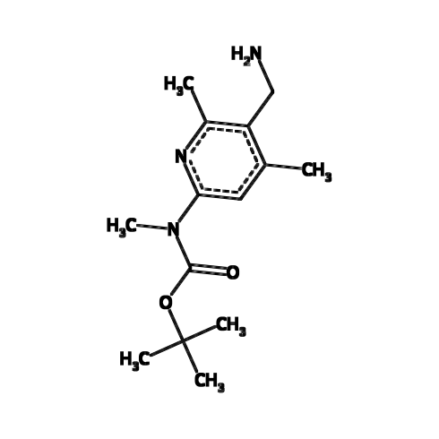 Cc1cc(N(C)C(=O)OC(C)(C)C)nc(C)c1CN